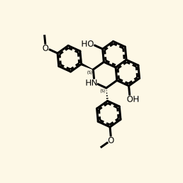 COc1ccc([C@@H]2N[C@@H](c3ccc(OC)cc3)c3c(O)ccc4ccc(O)c2c34)cc1